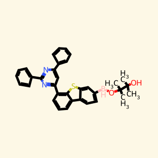 CC(C)(O)C(C)(C)OBc1ccc2c(c1)sc1c(-c3cc(-c4ccccc4)nc(-c4ccccc4)n3)cccc12